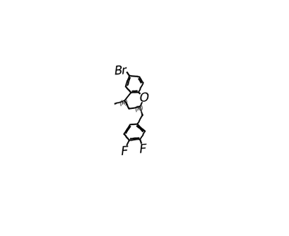 C[C@@H]1C[C@H](Cc2ccc(F)c(F)c2)Oc2ccc(Br)cc21